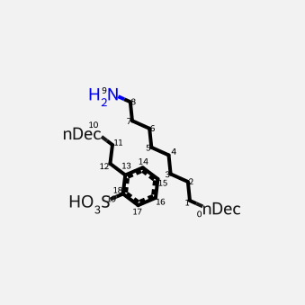 CCCCCCCCCCCCCCCCCCN.CCCCCCCCCCCCc1ccccc1S(=O)(=O)O